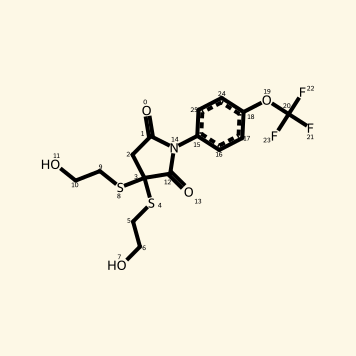 O=C1CC(SCCO)(SCCO)C(=O)N1c1ccc(OC(F)(F)F)cc1